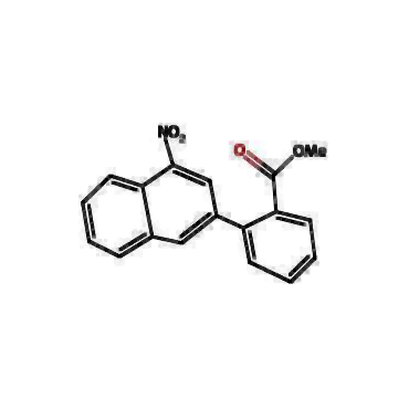 COC(=O)c1ccccc1-c1cc([N+](=O)[O-])c2ccccc2c1